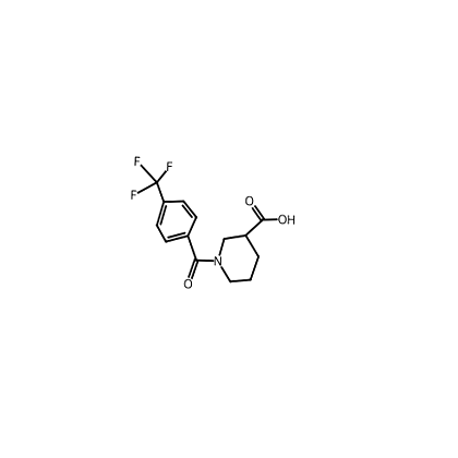 O=C(O)C1CCCN(C(=O)c2ccc(C(F)(F)F)cc2)C1